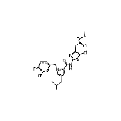 CCOC(=O)Cc1nc(NC(=O)c2cc(CC(C)C)cn2Cc2ccc(F)c(Cl)c2)sc1Cl